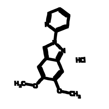 COc1cc2cn(-c3ccccn3)nc2cc1OC.Cl